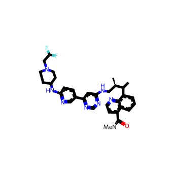 CNC(=O)c1ccnc2c(C(C)[C@H](C)CNc3cc(-c4ccc(NC5CCN(CC(F)F)CC5)nc4)ncn3)cccc12